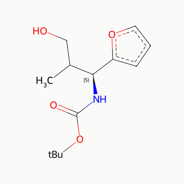 CC(CO)[C@H](NC(=O)OC(C)(C)C)c1ccco1